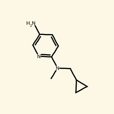 CN(CC1CC1)c1ccc(N)cn1